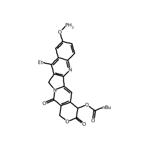 CCCCC(=O)OC1C(=O)OCc2c1cc1n(c2=O)Cc2c-1nc1ccc(OP)cc1c2CC